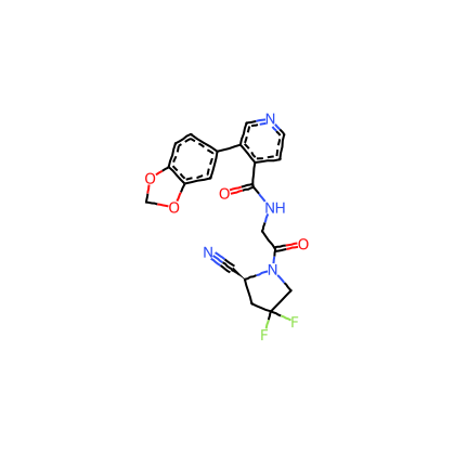 N#C[C@@H]1CC(F)(F)CN1C(=O)CNC(=O)c1ccncc1-c1ccc2c(c1)OCO2